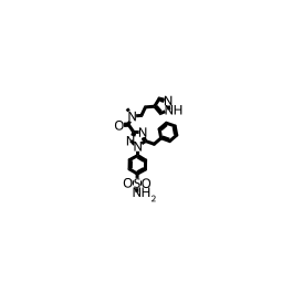 CN(CCc1cn[nH]c1)C(=O)c1nc(Cc2ccccc2)n(-c2ccc(S(N)(=O)=O)cc2)n1